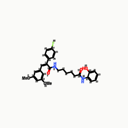 COc1cc(/C=C(\C(=O)NCCCCCC(=O)Nc2ccccc2O)c2ccc(F)cc2)cc(OC)c1